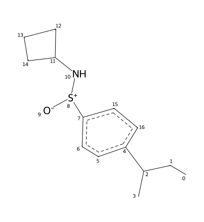 CCC(C)c1ccc([S+]([O-])NC2CCC2)cc1